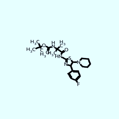 CC(C)(C)OC(=O)NC(C)(C)C(=O)NC1=NC(c2ccc(F)cc2)C(N2CCCCC2)S1